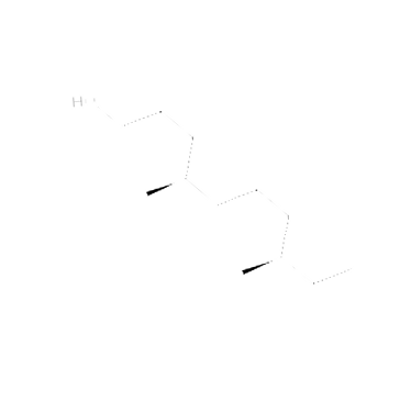 CC[C@@H](C)C[C@@H](C)C[C@@H](C)C[C@@H](C)CO